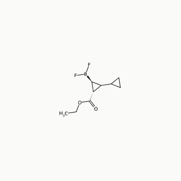 CCOC(=O)[C@H]1C(C2CC2)[C@@H]1B(F)F